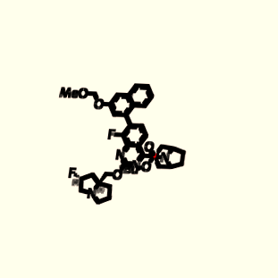 COCOc1cc(-c2ccc3c(N4CC5CCC(C4)N5C(=O)OC(C)(C)C)nc(OC[C@@]45CCCN4C[C@H](F)C5)nc3c2F)c2ccccc2c1